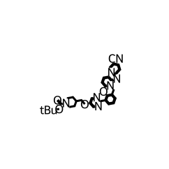 CC(C)(C)OC(=O)N1CCC(COc2cnc(-c3cccc(Cn4c(=O)ccc5c4nc4ccc(C#N)cn45)c3)nc2)CC1